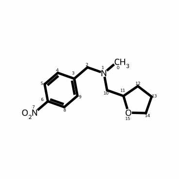 CN(Cc1ccc([N+](=O)[O-])cc1)CC1CCCO1